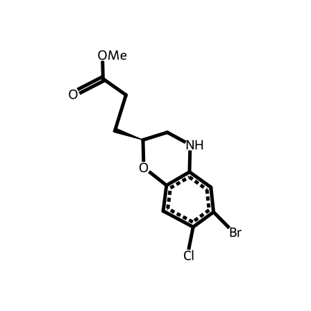 COC(=O)CC[C@H]1CNc2cc(Br)c(Cl)cc2O1